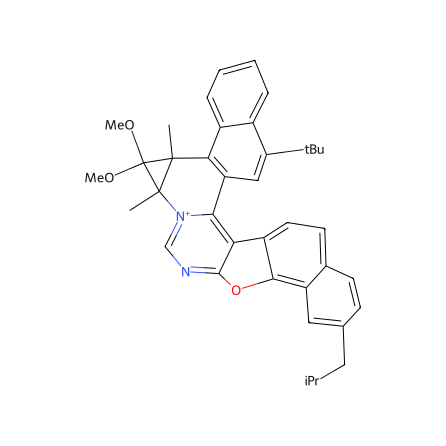 COC1(OC)C2(C)c3c(cc(C(C)(C)C)c4ccccc34)-c3c4c(nc[n+]3C12C)oc1c2cc(CC(C)C)ccc2ccc14